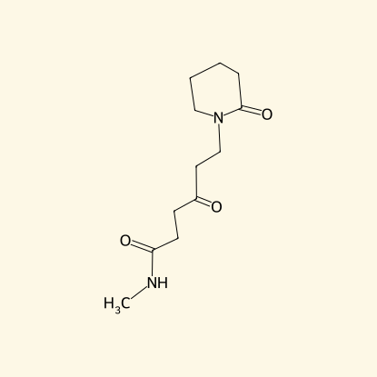 CNC(=O)CCC(=O)CCN1CCCCC1=O